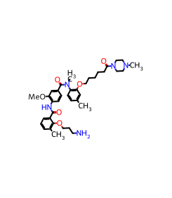 COc1cc(C(=O)N(C)c2ccc(C)cc2OCCCCCC(=O)N2CCN(C)CC2)ccc1NC(=O)c1cccc(C)c1OCCCN